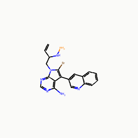 C=CC(Cn1c(Br)c(-c2cnc3ccccc3c2)c2c(N)ncnc21)NP